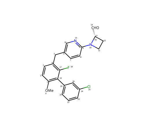 COc1ccc(Cc2ccc(N3CC[C@H]3C=O)nc2)c(F)c1-c1cccc(Cl)c1